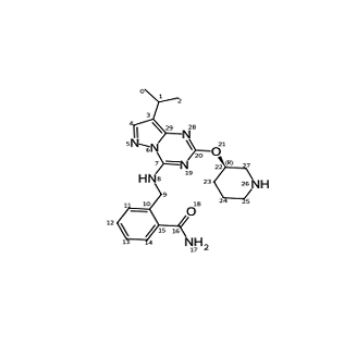 CC(C)c1cnn2c(NCc3ccccc3C(N)=O)nc(O[C@@H]3CCCNC3)nc12